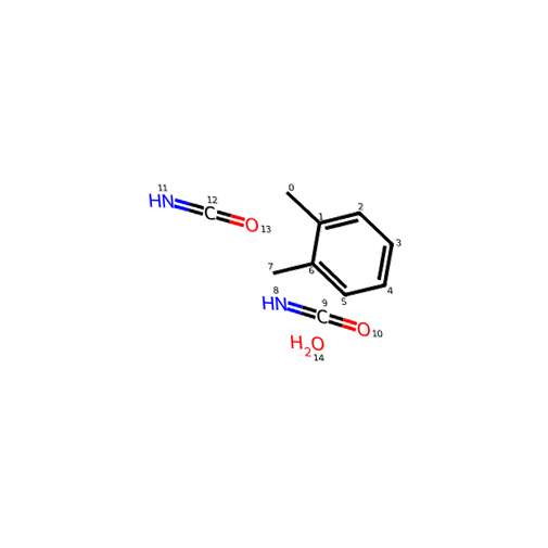 Cc1ccccc1C.N=C=O.N=C=O.O